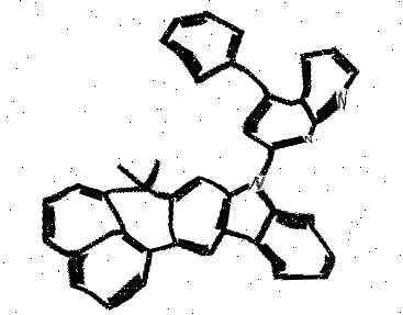 CC1(C)c2cc3c(cc2-c2cccc4cccc1c24)c1ccccc1n3-c1cc(-c2ccccc2)c2cccnc2n1